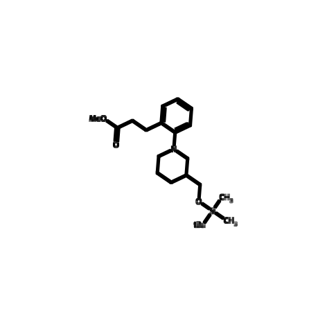 COC(=O)CCc1ccccc1N1CCCC(CO[Si](C)(C)C(C)(C)C)C1